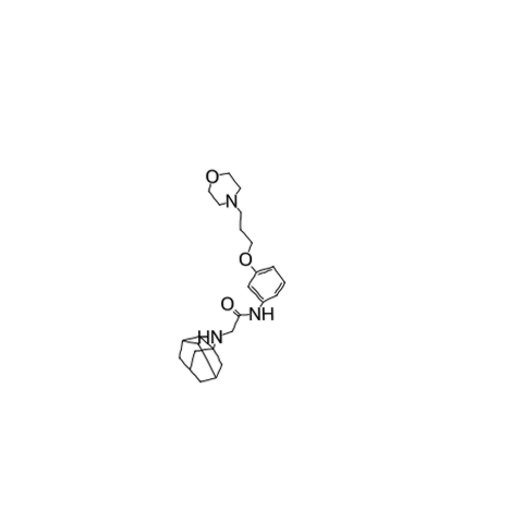 O=C(CNC12CC3CC(CC(C3)C1)C2)Nc1cccc(OCCCN2CCOCC2)c1